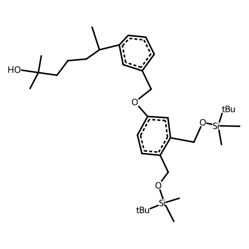 CC(CCCC(C)(C)O)c1cccc(COc2ccc(CO[Si](C)(C)C(C)(C)C)c(CO[Si](C)(C)C(C)(C)C)c2)c1